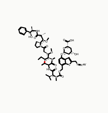 CC[C@H](C)[C@@H]([C@@H](CC(=O)N1CCC[C@H]1[C@H](OC)[C@@H](C)C(=O)N[C@H](C)[C@@H](O)c1ccccc1)OC)N(C)C(=O)C(NC(=O)[C@H](C(C)C)N(C)C(=O)OCc1ccc(O[C@H]2C[C@@H](O)C[C@@H](C(=O)O)O2)c2cc(CN=[N+]=[N-])sc12)C(C)C